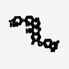 Cc1cc(Nc2ncnc3ccc([C@H]4CC[C@@H](C)NC4)nc23)c(F)cc1Oc1ccc2c(c1)ncn2C